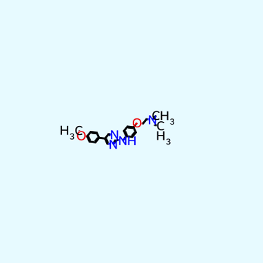 CCN(C)CCOc1ccc(Nc2ncc(-c3ccc(OC)cc3)cn2)cc1